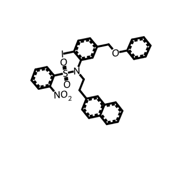 O=[N+]([O-])c1ccccc1S(=O)(=O)N(CCc1ccc2ccccc2c1)c1cc(COc2ccccc2)ccc1I